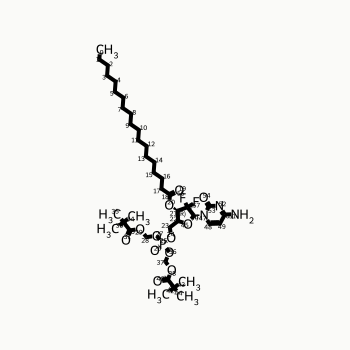 CCCCCCCCCCCCCCCCCCC(=O)O[C@@H]1C(COP(=O)(OCOC(=O)C(C)(C)C)OCOC(=O)C(C)(C)C)O[C@@H](n2ccc(N)nc2=O)C1(F)F